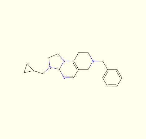 C1=NC2N(CC3CC3)CCN2C2=C1CN(Cc1ccccc1)CC2